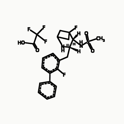 CS(=O)(=O)N[C@@H]1[C@H](Cc2cccc(-c3ccccc3)c2F)NC2CC1(F)C2.O=C(O)C(F)(F)F